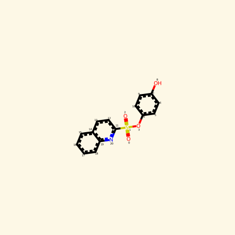 O=S(=O)(Oc1ccc(O)cc1)c1ccc2ccccc2n1